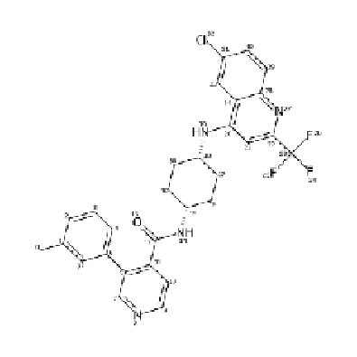 Cc1cccc(-c2cnccc2C(=O)N[C@H]2CC[C@@H](Nc3cc(C(F)(F)F)nc4ccc(Cl)cc34)CC2)c1